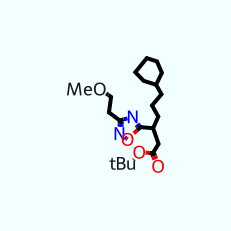 COCCc1noc(C(CCCC2CCCCC2)CC(=O)OC(C)(C)C)n1